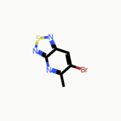 Cc1nc2nsnc2cc1Br